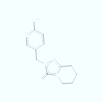 COc1ccc(Cn2nc3n(c2=O)CCCC3)cn1